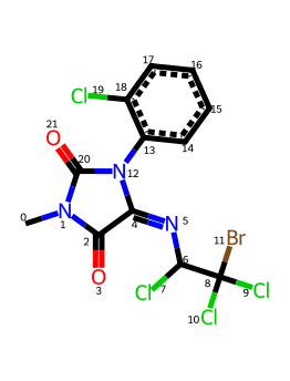 CN1C(=O)/C(=N\C(Cl)C(Cl)(Cl)Br)N(c2ccccc2Cl)C1=O